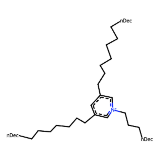 CCCCCCCCCCCCCCCCCc1cc(CCCCCCCCCCCCCCCCC)c[n+](CCCCCCCCCCCCC)c1